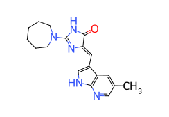 Cc1cnc2[nH]cc(/C=C3\N=C(N4CCCCCC4)NC3=O)c2c1